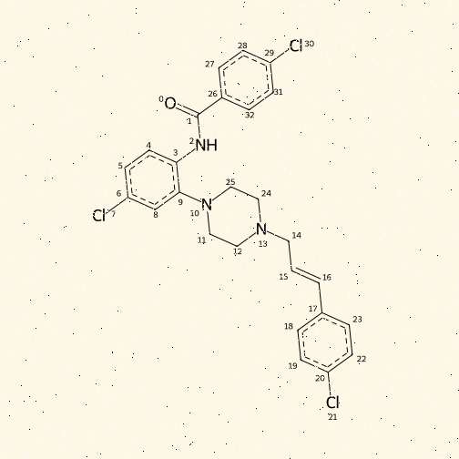 O=C(Nc1ccc(Cl)cc1N1CCN(CC=Cc2ccc(Cl)cc2)CC1)c1ccc(Cl)cc1